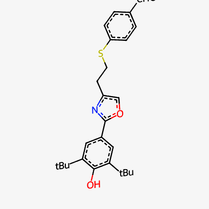 CC(C)(C)c1cc(-c2nc(CCSc3ccc(C=O)cc3)co2)cc(C(C)(C)C)c1O